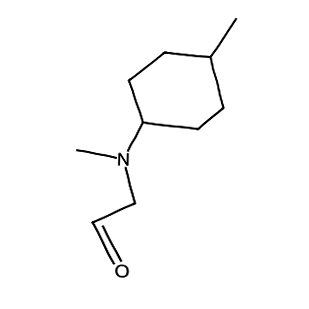 CC1CCC(N(C)CC=O)CC1